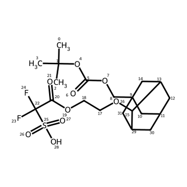 CC(C)(C)OC(=O)OCC12CC3CC(C1)C(OCCOC(=O)C(F)(F)S(=O)(=O)O)C(C3)C2